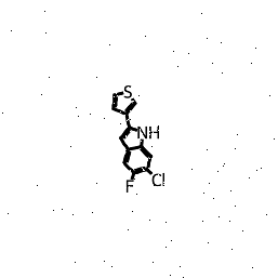 Fc1cc2cc(-c3ccsc3)[nH]c2cc1Cl